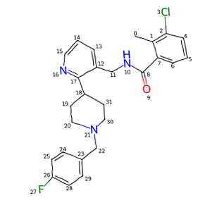 Cc1c(Cl)cccc1C(=O)NCc1cccnc1C1CCN(Cc2ccc(F)cc2)CC1